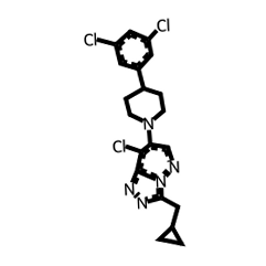 Clc1cc(Cl)cc(C2CCN(c3cnn4c(CC5CC5)nnc4c3Cl)CC2)c1